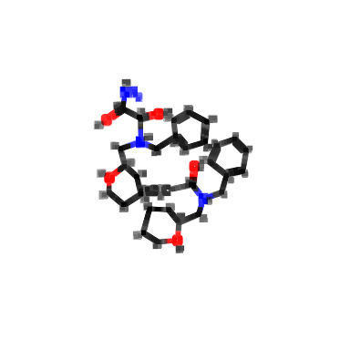 CCOC(=O)C(=O)N(Cc1ccccc1)CC1CCCCO1.NC(=O)C(=O)N(Cc1ccccc1)CC1CCCCO1